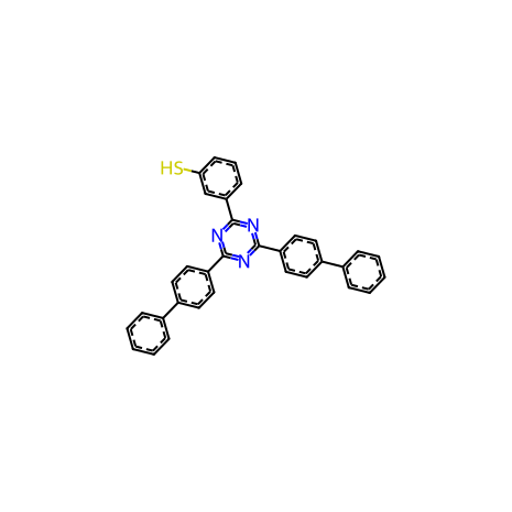 Sc1cccc(-c2nc(-c3ccc(-c4ccccc4)cc3)nc(-c3ccc(-c4ccccc4)cc3)n2)c1